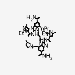 C=C(N)c1cc(CCC)c2c(c1)nc(NC(=C)c1cc(C)nn1CC)n2C/C=C/Cn1c(NC(=C)c2cc(C)nn2CC)nc2cc(C(=C)N)cc(CCN3CCC(C)C3)c21